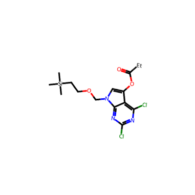 CCC(=O)Oc1cn(COCC[Si](C)(C)C)c2nc(Cl)nc(Cl)c12